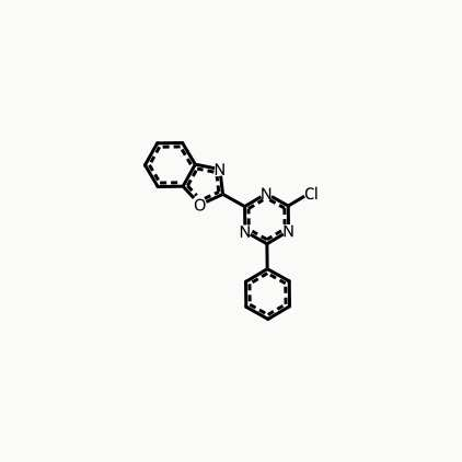 Clc1nc(-c2ccccc2)nc(-c2nc3ccccc3o2)n1